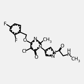 CNCC(=O)n1cc(-n2c(C)nc(OCc3ccc(F)cc3F)c(Cl)c2=O)cn1